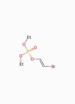 CCOP(=O)(OC=CBr)OCC